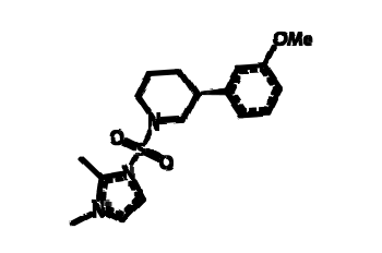 COc1cccc([C@@H]2CCCN(S(=O)(=O)n3cc[n+](C)c3C)C2)c1